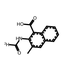 [2H]C(=O)Nc1c(C)cc2ccccc2c1C(=O)O